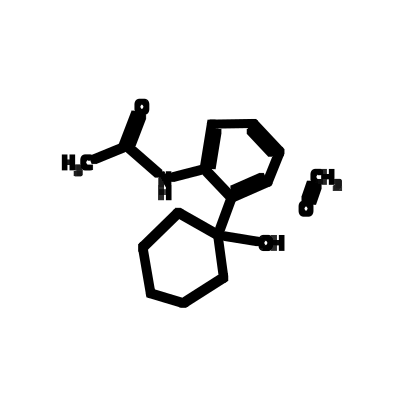 C=O.CC(=O)Nc1ccccc1C1(O)CCCCC1